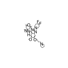 COc1cc2c(NC3(N(C)C)C[C@@H](C)O[C@@H](C)C3)nc(N3CCC(F)(F)CC3)nc2cc1OCCCN1CCCC1